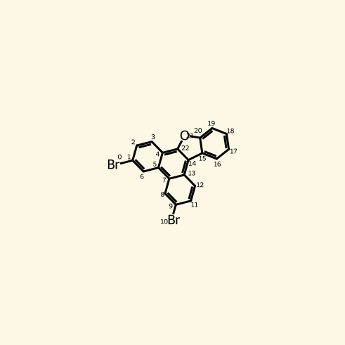 Brc1ccc2c(c1)c1cc(Br)ccc1c1c3ccccc3oc21